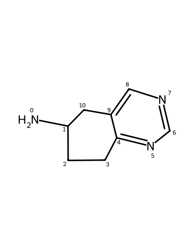 NC1CCc2ncncc2C1